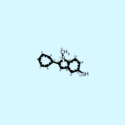 Cn1c(-c2ccccc2)cc2cc(S)ccc21